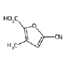 Cc1cc(C#N)oc1C(=O)O